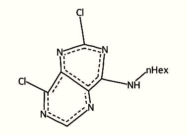 CCCCCCNc1nc(Cl)nc2c(Cl)ncnc12